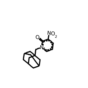 O=c1c([N+](=O)[O-])cccn1CC12CC3CC(CC(C3)C1)C2